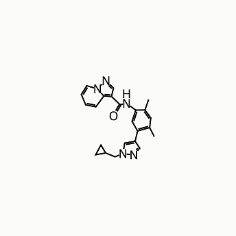 Cc1cc(C)c(-c2cnn(CC3CC3)c2)cc1NC(=O)c1cnn2ccccc12